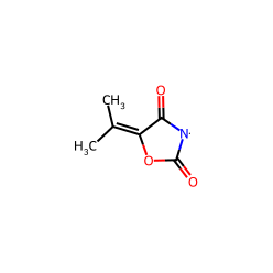 CC(C)=C1OC(=O)[N]C1=O